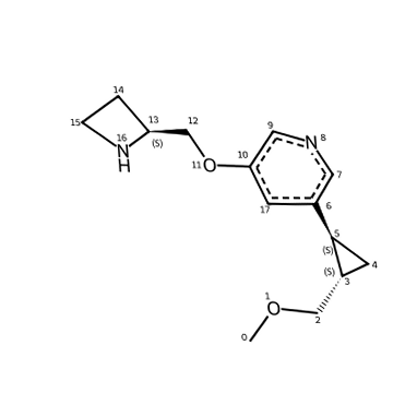 COC[C@H]1C[C@@H]1c1cncc(OC[C@@H]2CCN2)c1